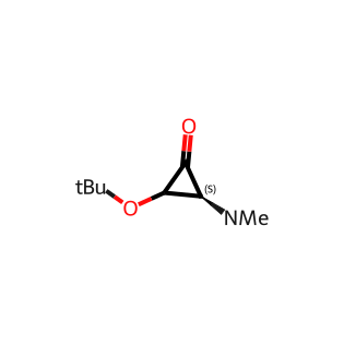 CN[C@@H]1C(=O)C1OC(C)(C)C